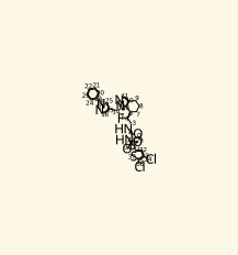 O=C(NC/C(F)=C1\CCCc2cnn(Cc3cnn(-c4ccccc4)c3)c21)NS(=O)(=O)c1cc(Cl)c(Cl)s1